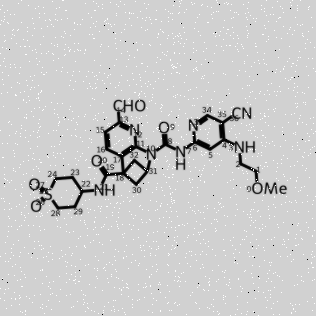 COCCNc1cc(NC(=O)N2c3nc(C=O)ccc3C3(C(=O)NC4CCS(=O)(=O)CC4)CC2C3)ncc1C#N